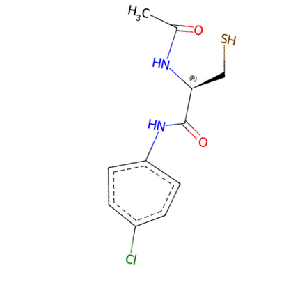 CC(=O)N[C@@H](CS)C(=O)Nc1ccc(Cl)cc1